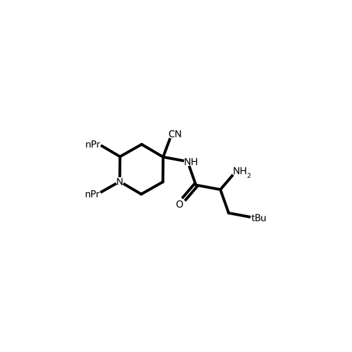 CCCC1CC(C#N)(NC(=O)C(N)CC(C)(C)C)CCN1CCC